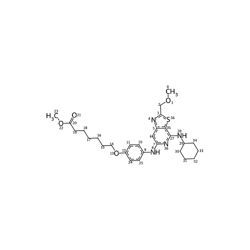 COCc1nc2cc(Nc3ccc(OCCCCCCC(=O)OC)cc3)nc(NC3CCCCC3)c2s1